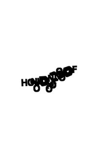 O=C(NO)c1ccc(N2CCN(S(=O)(=O)c3ccc(F)cc3)CC2)c([N+](=O)[O-])c1